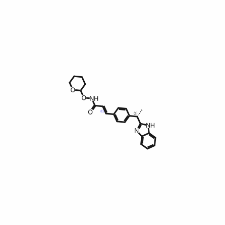 C[C@@H](c1ccc(/C=C/C(=O)NOC2CCCCO2)cc1)c1nc2ccccc2[nH]1